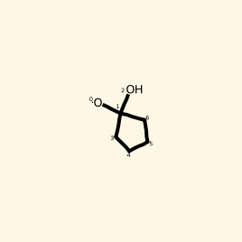 [O]C1(O)CCCC1